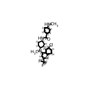 CNc1ccc(C(=O)N[C@H]2CC[C@@H](N(C)c3cc(C(F)(F)F)nc4ccc(Cl)cc34)CC2)cc1